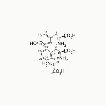 C[C@H](N)C(=O)O.N[C@@H](Cc1ccc(O)cc1)C(=O)O.N[C@@H](Cc1ccccc1)C(=O)O